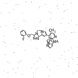 Cc1cnc(Nc2ccnn2C)nc1-c1cc2n(c1)CCn1c(COc3ccccc3F)nnc1-2